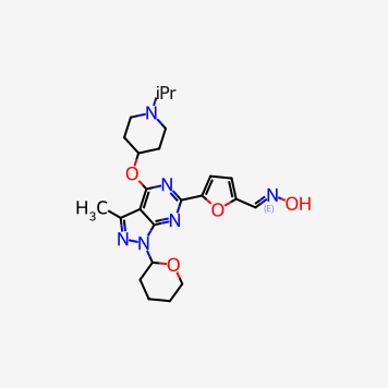 Cc1nn(C2CCCCO2)c2nc(-c3ccc(/C=N/O)o3)nc(OC3CCN(C(C)C)CC3)c12